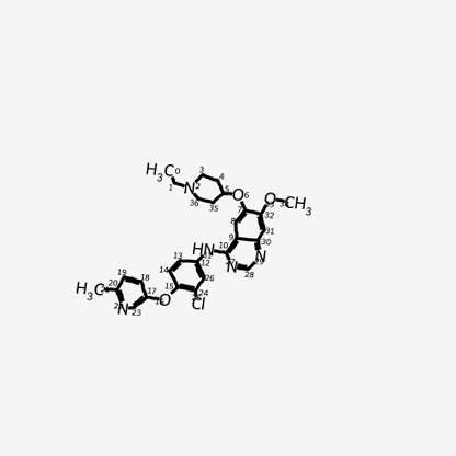 CCN1CCC(Oc2cc3c(Nc4ccc(Oc5ccc(C)nc5)c(Cl)c4)ncnc3cc2OC)CC1